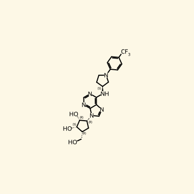 OC[C@H]1C[C@@H](n2cnc3c(N[C@H]4CCN(c5ccc(C(F)(F)F)cc5)C4)ncnc32)[C@@H](O)[C@H]1O